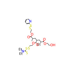 CCC(CC(CC(C)C(=O)OCCSSc1ccccn1)C(=O)OCCSSC(=S)N(CC)CC)C(=O)OCCO